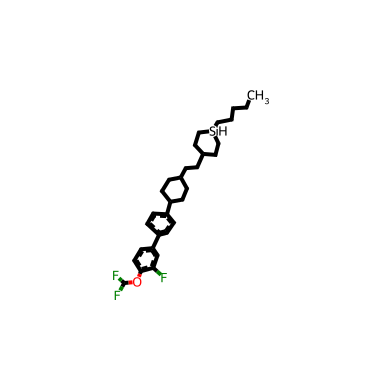 CCCCC[SiH]1CCC(CCC2CCC(c3ccc(-c4ccc(OC(F)F)c(F)c4)cc3)CC2)CC1